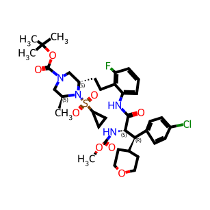 COC(=O)N[C@H](C(=O)Nc1cccc(F)c1CC[C@H]1CN(C(=O)OC(C)(C)C)C[C@H](C)N1S(=O)(=O)C1CC1)[C@@H](c1ccc(Cl)cc1)C1CCOCC1